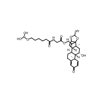 CCCC1O[C@@H]2C[C@H]3[C@@H]4CCC5=CC(=O)C=C[C@]5(C)[C@H]4[C@@H](O)C[C@]3(C)C2(C(=O)COC(=O)CNC(=O)CCCCCON(O)O)O1